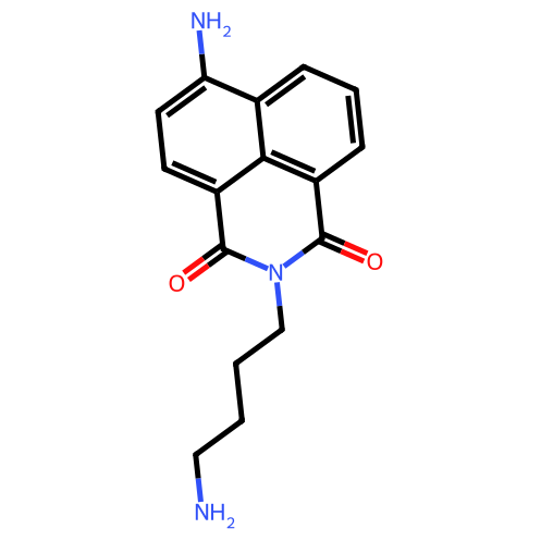 NCCCCN1C(=O)c2cccc3c(N)ccc(c23)C1=O